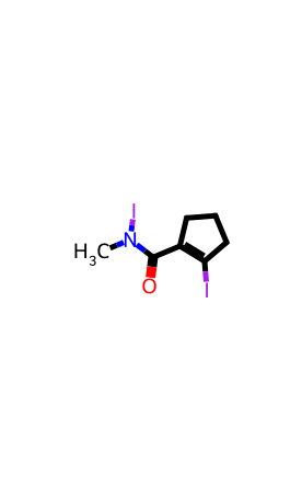 CN(I)C(=O)C1=C(I)CCC1